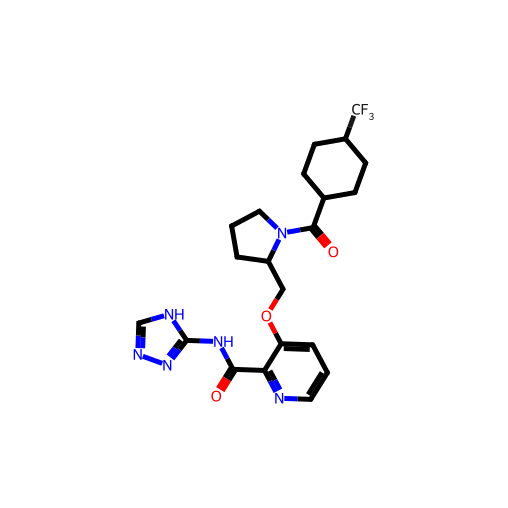 O=C(Nc1nnc[nH]1)c1ncccc1OCC1CCCN1C(=O)C1CCC(C(F)(F)F)CC1